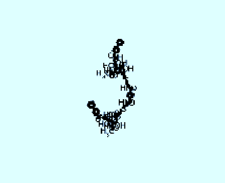 CC(=O)NC1[C@H]([C@H](O)[C@H](O)CNC(=O)c2ccc(C3CCCCC3)cc2)O[C@@](OCCCSCCNC(=O)c2ccc(C(=O)NCCSCCCO[C@]3(C(=O)O)C[C@H](O)[C@@H](NC(C)=O)[C@H]([C@H](O)[C@H](O)CNC(=O)c4ccc(-c5ccccc5)cc4)O3)cc2)(C(=O)O)C[C@@H]1O